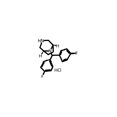 Cl.Fc1ccc(C(c2ccc(F)cc2)N2[C@@H]3CC[C@H]2CNC3)cc1